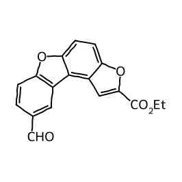 CCOC(=O)c1cc2c(ccc3oc4ccc(C=O)cc4c32)o1